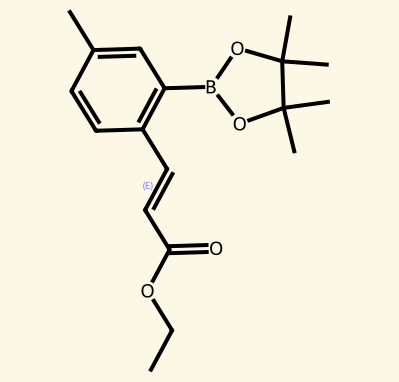 CCOC(=O)/C=C/c1ccc(C)cc1B1OC(C)(C)C(C)(C)O1